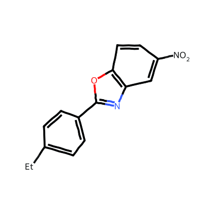 CCc1ccc(-c2nc3cc([N+](=O)[O-])ccc3o2)cc1